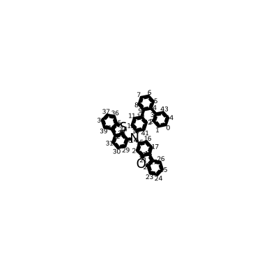 c1ccc(-c2ccccc2-c2ccc(N(c3ccc4c(c3)oc3ccccc34)c3cccc4c3sc3ccccc34)cc2)cc1